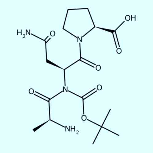 C[C@H](N)C(=O)N(C(=O)OC(C)(C)C)[C@@H](CC(N)=O)C(=O)N1CCC[C@H]1C(=O)O